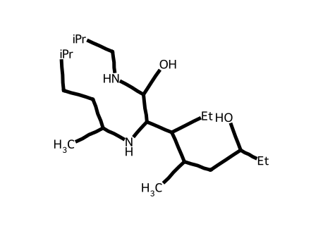 CCC(O)CC(C)C(CC)C(NC(C)CCC(C)C)C(O)NCC(C)C